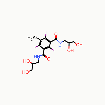 O=C(NCC(O)CO)c1c(I)c([AsH2])c(I)c(C(=O)NCC(O)CO)c1I